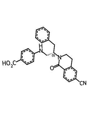 N#Cc1ccc2c(c1)CCN([C@H](CNc1ccc(C(=O)O)cc1)Cc1ccccc1)C2=O